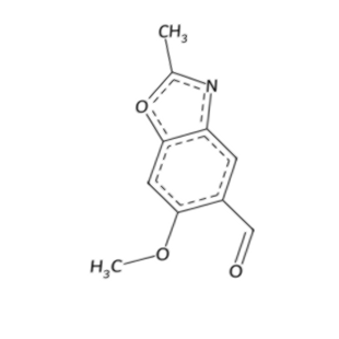 COc1cc2oc(C)nc2cc1C=O